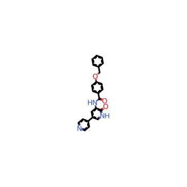 O=C(Nc1cc(-c2ccncc2)c[nH]c1=O)c1ccc(OCc2ccccc2)cc1